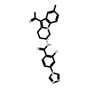 CC(=O)c1c2n(c3ccc(C)cc13)C[C@H](NC(=O)c1ccc(-n3cnnc3)cc1Cl)CC2